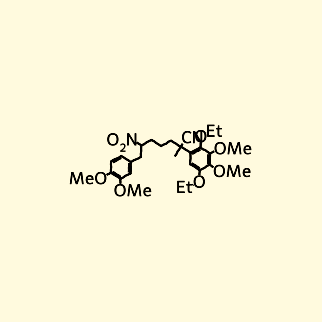 CCOc1cc(C(C)(C#N)CCCC(Cc2ccc(OC)c(OC)c2)[N+](=O)[O-])c(OCC)c(OC)c1OC